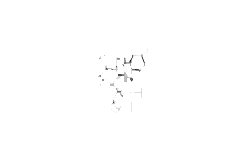 O=C1COC(C(O)CO)c2nc3ccccc3nc21